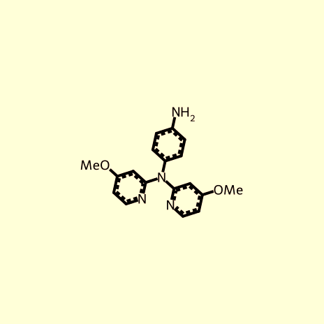 COc1ccnc(N(c2ccc(N)cc2)c2cc(OC)ccn2)c1